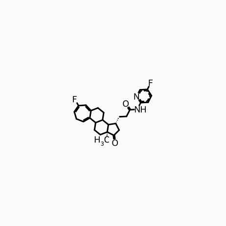 C[C@]12CCC3C4=CCC=C(F)C=C4CCC3C1[C@H](CCC(=O)Nc1ccc(F)cn1)CC2=O